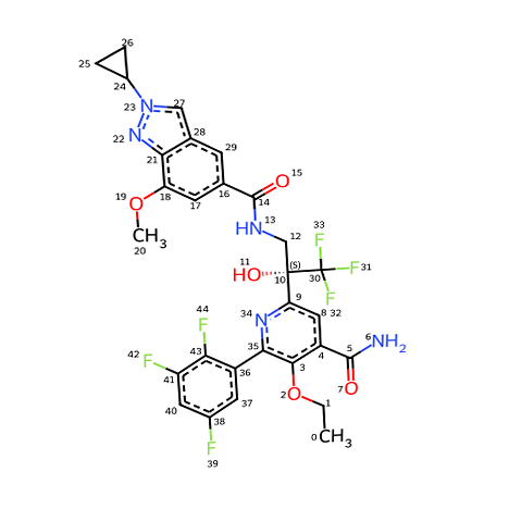 CCOc1c(C(N)=O)cc([C@@](O)(CNC(=O)c2cc(OC)c3nn(C4CC4)cc3c2)C(F)(F)F)nc1-c1cc(F)cc(F)c1F